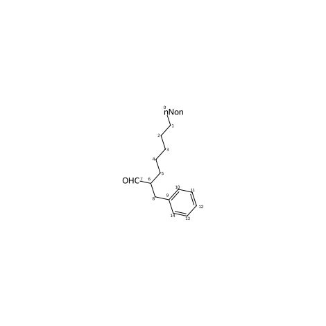 CCCCCCCCCCCCCCC(C=O)Cc1ccccc1